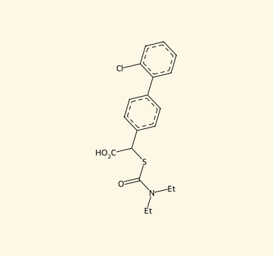 CCN(CC)C(=O)SC(C(=O)O)c1ccc(-c2ccccc2Cl)cc1